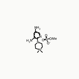 COS(=O)(=O)[O-].C[N+]1(C)CCN(c2ncc(N)cc2N)CC1